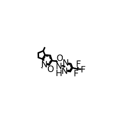 CC1CCc2c1cc(C(=O)Nc1ncc(C(F)(F)F)cn1)c(=O)n2C